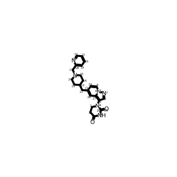 O=C1CCN(c2cnn3ccc(CC4CCN(Cc5ccccn5)CC4)cc23)C(=O)N1